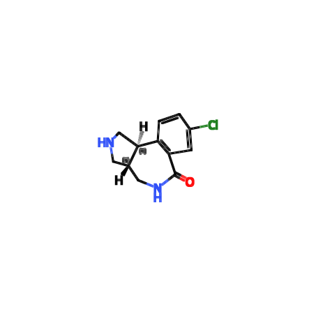 O=C1NC[C@@H]2CNC[C@H]2c2ccc(Cl)cc21